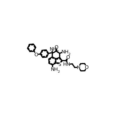 Nc1ccc2c3c(c(C(=O)NCCN4CCOCC4)sc13)C(N)C(=O)C2(N)c1ccc(Oc2ccccc2)cc1